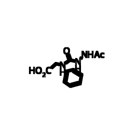 CC(=O)NNC(=O)NCC(=O)O.c1ccccc1